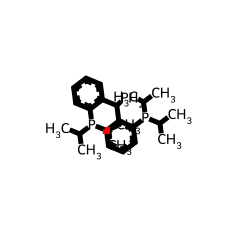 CC(C)P(c1ccccc1C(P)c1ccccc1P(C(C)C)C(C)C)C(C)C